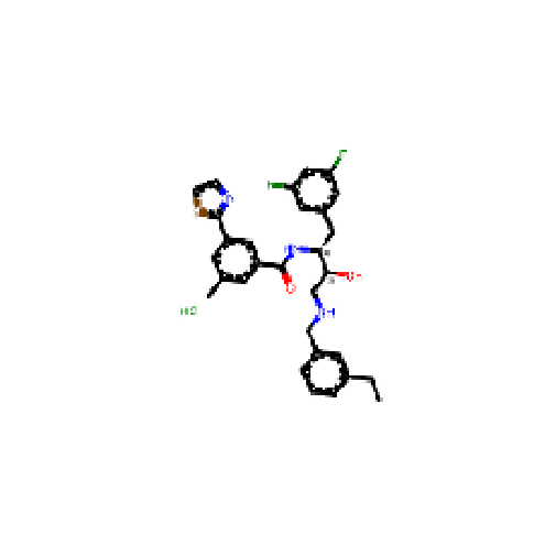 CCc1cccc(CNC[C@H](O)[C@H](Cc2cc(F)cc(F)c2)NC(=O)c2cc(C)cc(-c3nccs3)c2)c1.Cl